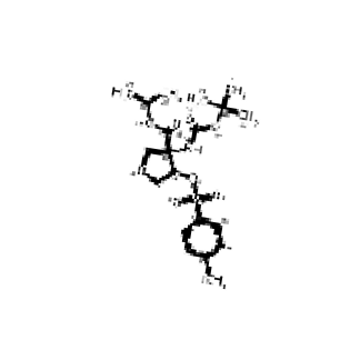 Cc1ccc(S(=O)(=O)O[C@H]2COC[C@]2(NC(=O)OC(C)(C)C)C(=O)OC(C)C)cc1